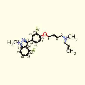 C=CCN(C)CC=CCOc1ccc(-c2nn(C)c3cccc(F)c23)cc1F